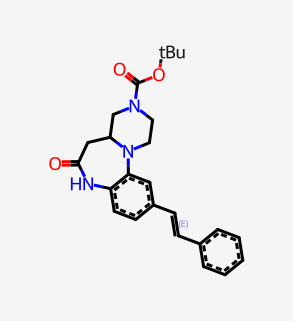 CC(C)(C)OC(=O)N1CCN2c3cc(/C=C/c4ccccc4)ccc3NC(=O)CC2C1